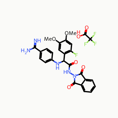 COc1cc(F)c(C(Nc2ccc(C(=N)N)cc2)C(=O)NN2C(=O)c3ccccc3C2=O)cc1OC.O=C(O)C(F)(F)F